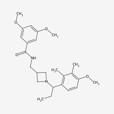 CCC(c1ccc(OC)c(C)c1C)N1CC(CNC(=O)c2cc(OC)cc(OC)c2)C1